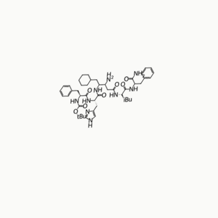 CC[C@H](C)[C@H](NC(=O)CC(N)C(CC1CCCCC1)NC(=O)[C@H](Cc1c[nH]cn1)NC(=O)[C@H](Cc1ccccc1)NC(=O)OC(C)(C)C)C(=O)NC(Cc1ccccc1)C(N)=O